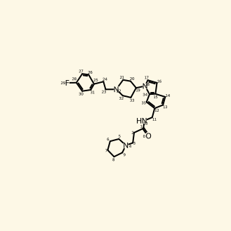 O=C(CCN1CCCCC1)NCc1ccc2ccn(C3CCN(CCc4ccc(F)cc4)CC3)c2c1